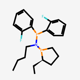 CCCCN(P(c1ccccc1F)c1ccccc1F)P1CCC[C@H]1CC